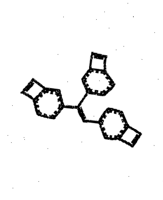 C1=Cc2cc(C=C(c3ccc4c(c3)C=C4)c3ccc4c(c3)C=C4)ccc21